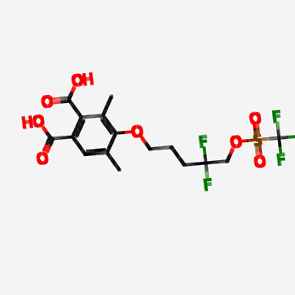 Cc1cc(C(=O)O)c(C(=O)O)c(C)c1OCCCC(F)(F)COS(=O)(=O)C(F)(F)F